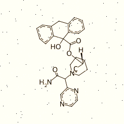 NC(=O)C(c1cnccn1)[N+]12CCC(CC1)[C@@H](OC(=O)C1(O)c3ccccc3Cc3ccccc31)C2